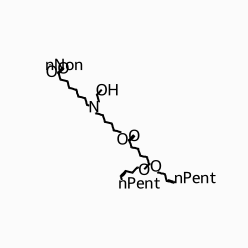 CCCCC/C=C\CCOC(CCCCC(=O)OCCCCCCN(CCO)CCCCCCCC(=O)OCCCCCCCCC)OCC/C=C\CCCCC